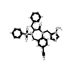 Cn1cncc1CN1C(=O)C(Cc2ccccc2)N(S(=O)(=O)c2ccccc2)Cc2cc(C#N)ccc21